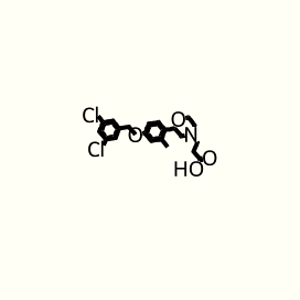 Cc1cc(OCc2cc(Cl)cc(Cl)c2)ccc1C1CN(CCC(=O)O)CCO1